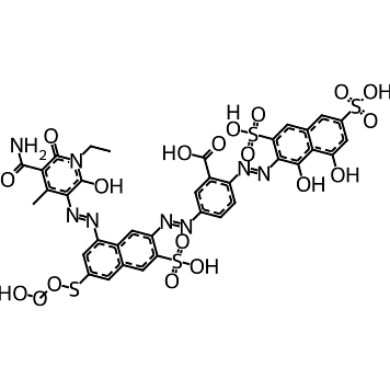 CCn1c(O)c(/N=N/c2cc(SOOO)cc3cc(S(=O)(=O)O)c(/N=N/c4ccc(/N=N/c5c(S(=O)(=O)O)cc6cc(S(=O)(=O)O)cc(O)c6c5O)c(C(=O)O)c4)cc23)c(C)c(C(N)=O)c1=O